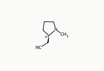 CN1CCC[C@@H]1CC#N